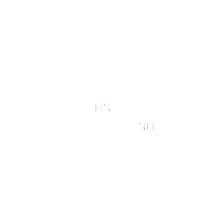 C1CCCCC1.Nc1ccc[nH]1